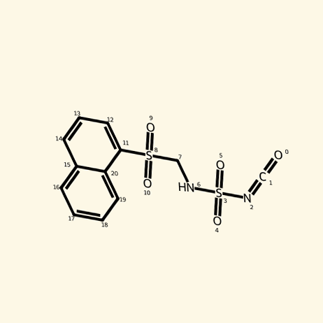 O=C=NS(=O)(=O)NCS(=O)(=O)c1cccc2ccccc12